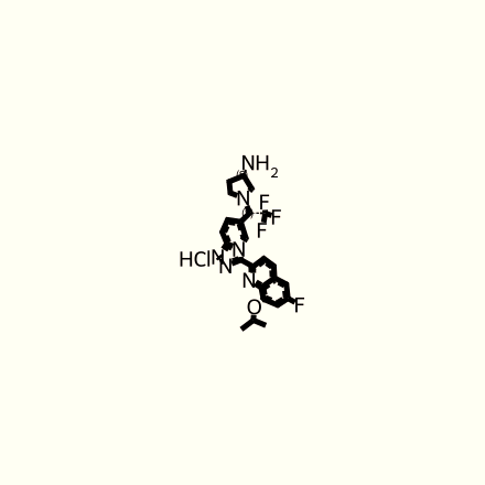 CC(C)Oc1cc(F)cc2ccc(-c3nnc4ccc([C@H](N5CC[C@H](N)C5)C(F)(F)F)cn34)nc12.Cl